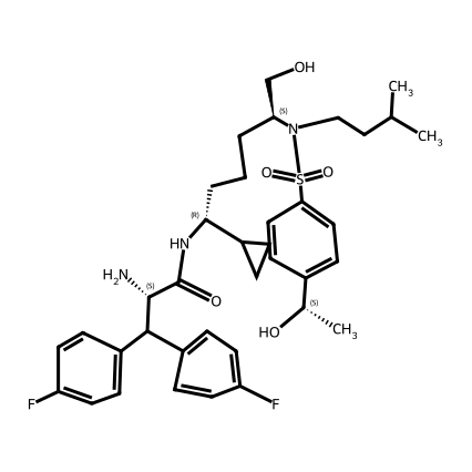 CC(C)CCN([C@H](CO)CCC[C@@H](NC(=O)[C@@H](N)C(c1ccc(F)cc1)c1ccc(F)cc1)C1CC1)S(=O)(=O)c1ccc([C@H](C)O)cc1